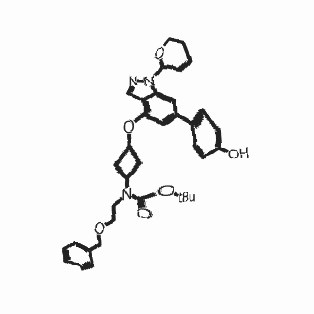 CC(C)(C)OC(=O)N(CCOCc1ccccc1)C1CC(Oc2cc(-c3ccc(O)cc3)cc3c2cnn3C2CCCCO2)C1